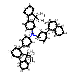 CC1(C)c2ccccc2-c2ccc(N(c3ccc(-c4cccc5c4C(C)(C)c4ccccc4-5)cc3)c3cccc(-c4cccc5ccccc45)c3)cc21